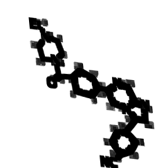 CCN1CCN(C(=O)c2ccc(-c3cn4c(-c5ccc(C#N)cc5)cnc4cn3)cc2)CC1